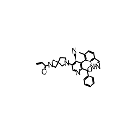 C=CC(=O)N1CC2(CCN(c3cnc(C(=O)c4ccccc4)c(-c4c(C)ccc5cnn(C)c45)c3C#N)C2)C1